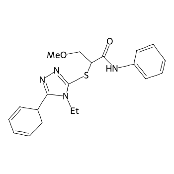 CCn1c(SC(COC)C(=O)Nc2ccccc2)nnc1C1C=CC=CC1